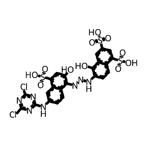 O=S(=O)(O)c1cc(S(=O)(=O)O)c2ccc(NN=Nc3c(O)cc(S(=O)(=O)O)c4cc(Nc5nc(Cl)nc(Cl)n5)ccc34)c(O)c2c1